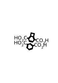 O=C(O)c1ccc(C(=O)O)c2c1CC2.O=C(O)c1cccc(C(=O)O)c1